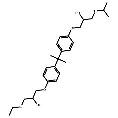 CCOCC(O)COc1ccc(C(C)(C)c2ccc(OCC(O)COC(C)C)cc2)cc1